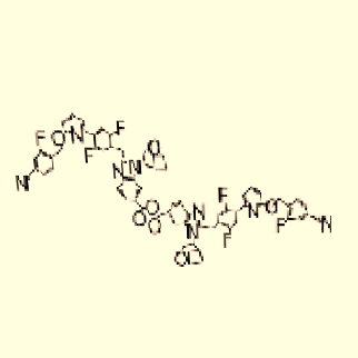 N#Cc1ccc(COc2cccc(-c3cc(F)c(Cc4nc5ccc(C(=O)OC(=O)c6ccc7nc(Cc8cc(F)c(-c9cccc(OCc%10ccc(C#N)cc%10F)n9)cc8F)n(C8COC9CC8C9)c7c6)cc5n4C4COC5CC4C5)cc3F)n2)c(F)c1